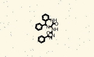 O=C1Nc2ccccc2C(c2ccccc2)=N[C@@H]1Nc1nnc(-c2ccccc2)o1